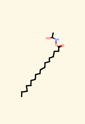 CCCCCCCCCCCCCCCCCC(=O)ONC(C)O